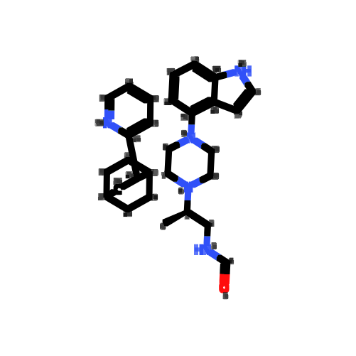 C[C@H](CNC=O)N1CCN(c2cccc3[nH]ccc23)CC1.c1ccc(C2CC3CCC2CC3)nc1